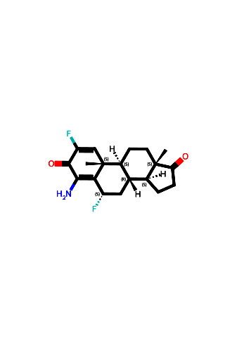 C[C@]12C=C(F)C(=O)C(N)=C1[C@@H](F)C[C@@H]1[C@@H]2CC[C@]2(C)C(=O)CC[C@@H]12